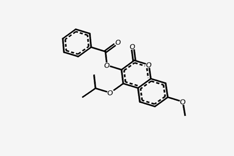 COc1ccc2c(OC(C)C)c(OC(=O)c3ccccc3)c(=O)oc2c1